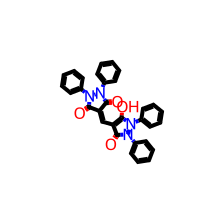 O=C1C(=Cc2c(O)n(-c3ccccc3)n(-c3ccccc3)c2=O)C(=O)N(c2ccccc2)N1c1ccccc1